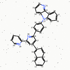 c1ccc(-c2cc(-c3ccc4ccccc4c3)cc(-c3ccc(-n4c5ccccc5c5ncccc54)cc3)n2)nc1